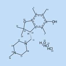 Cc1c(C)c2c(c(C)c1O)[C@H](CN1CCN(C)CC1)C(C)(C)O2.Cl.Cl.O